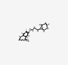 O=C1NCCc2ccc(OCCCN3CCCCC3)cc21